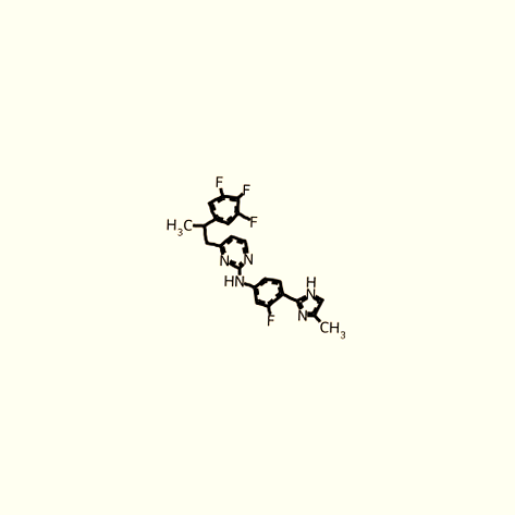 Cc1c[nH]c(-c2ccc(Nc3nccc(CC(C)c4cc(F)c(F)c(F)c4)n3)cc2F)n1